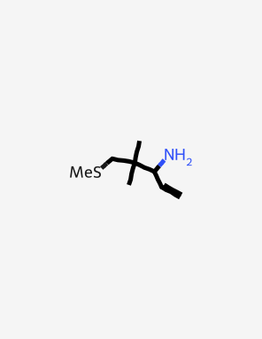 C=CC(N)C(C)(C)CSC